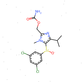 CC(C)c1nc(COC(N)=O)n(C)c1[S+]([O-])c1cc(Cl)cc(Cl)c1